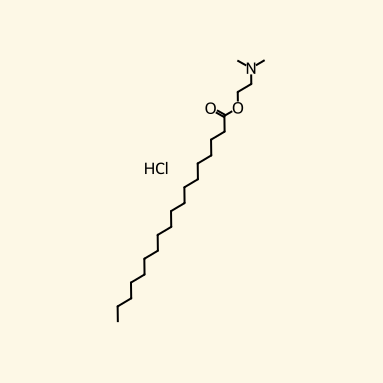 CCCCCCCCCCCCCCCCCC(=O)OCCN(C)C.Cl